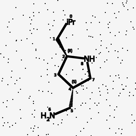 CC(C)C[C@@H]1C[C@@H](CN)CN1